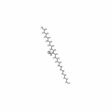 CCCCCCCCCCCCCCCC(C=O)CCCCCCCCCCCC